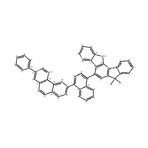 CC1(C)c2ccccc2-c2c1cc(-c1ccc(-c3ccc4ccc5cc(-c6ccccc6)cnc5c4n3)c3ccccc13)c1c2oc2ccccc21